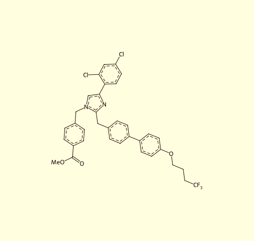 COC(=O)c1ccc(Cn2cc(-c3ccc(Cl)cc3Cl)nc2Cc2ccc(-c3ccc(OCCCC(F)(F)F)cc3)cc2)cc1